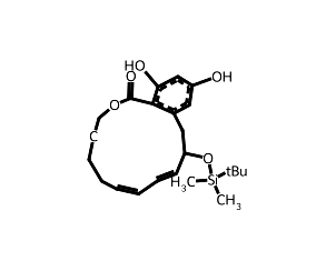 CC(C)(C)[Si](C)(C)OC1/C=C/C=C\CCCCOC(=O)c2c(O)cc(O)cc2C1